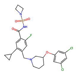 O=C(NS(=O)(=O)N1CCC1)c1cc(C2CC2)c(CN2CCCC(Oc3cc(Cl)cc(Cl)c3)C2)cc1F